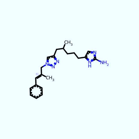 C/C(=C\c1ccccc1)Cn1cc(CC(C)CCCc2cnc(N)[nH]2)nn1